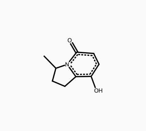 CC1CCc2c(O)ccc(=O)n21